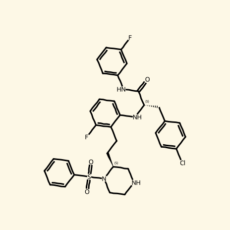 O=C(Nc1cccc(F)c1)[C@H](Cc1ccc(Cl)cc1)Nc1cccc(F)c1CC[C@H]1CNCCN1S(=O)(=O)c1ccccc1